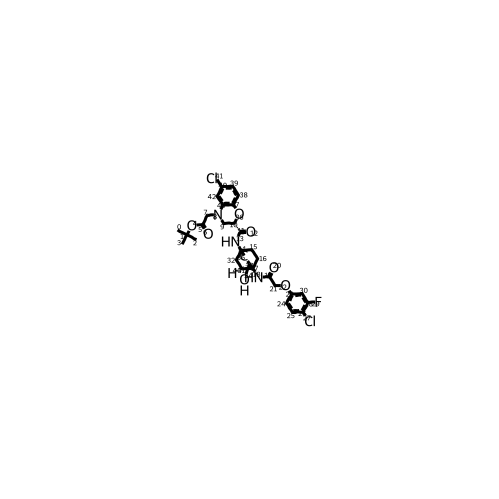 CC(C)(C)OC(=O)CN1C[C@@H](C(=O)NC23CCC(NC(=O)COc4ccc(Cl)c(F)c4)(CC2)[C@@H](O)C3)Oc2ccc(Cl)cc21